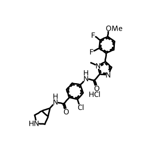 COc1ccc(-c2cnc(C(=O)Nc3ccc(C(=O)NC4C5CNCC54)c(Cl)c3)n2C)c(F)c1F.Cl